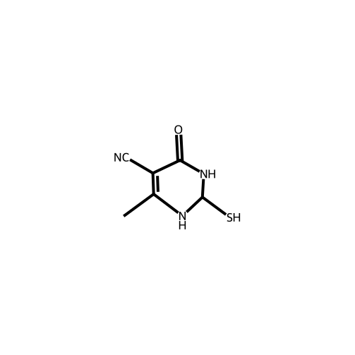 CC1=C(C#N)C(=O)NC(S)N1